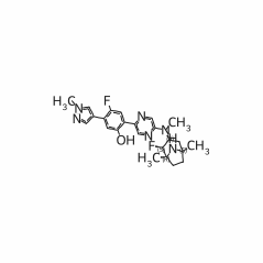 CN(c1cnc(-c2cc(F)c(-c3cnn(C)c3)cc2O)cn1)[C@H]1C[C@]2(C)CC[C@@](C)(N2)[C@H]1F